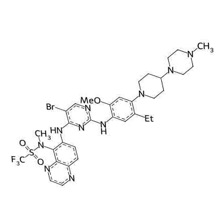 CCc1cc(Nc2ncc(Br)c(Nc3ccc4nccnc4c3N(C)S(=O)(=O)C(F)(F)F)n2)c(OC)cc1N1CCC(N2CCN(C)CC2)CC1